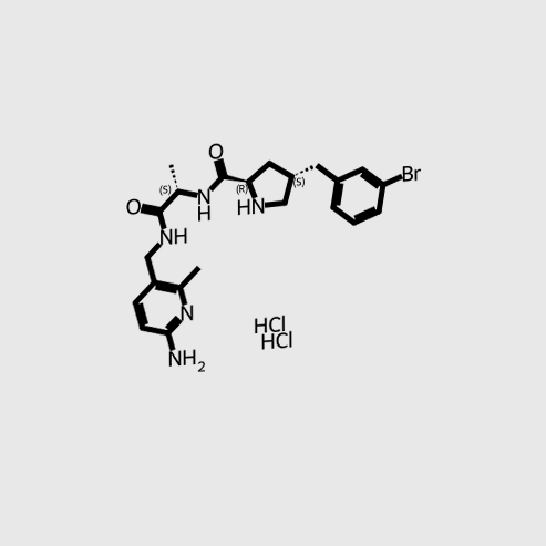 Cc1nc(N)ccc1CNC(=O)[C@H](C)NC(=O)[C@H]1C[C@H](Cc2cccc(Br)c2)CN1.Cl.Cl